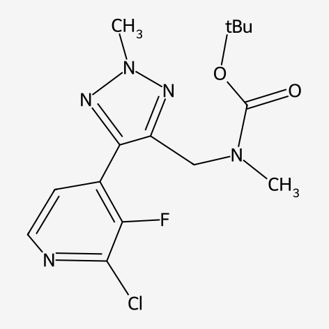 CN(Cc1nn(C)nc1-c1ccnc(Cl)c1F)C(=O)OC(C)(C)C